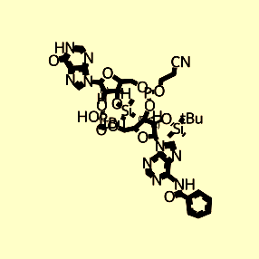 CC(C)(C)[Si](C)(C)O[C@@H]1C2COP(OCCC#N)O[C@@H]3C(COP(=O)(O)O[C@H]1C(n1cnc4c(=O)[nH]cnc41)O2)OC(n1cnc2c(NC(=O)c4ccccc4)ncnc21)[C@@H]3O[Si](C)(C)C(C)(C)C